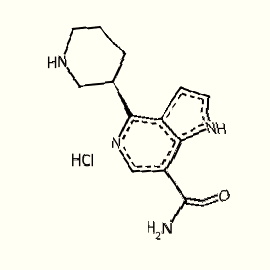 Cl.NC(=O)c1cnc([C@@H]2CCCNC2)c2cc[nH]c12